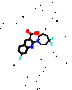 O=C(O)c1cc2ccc(F)cc2nc1N1CCCC(F)(F)CC1